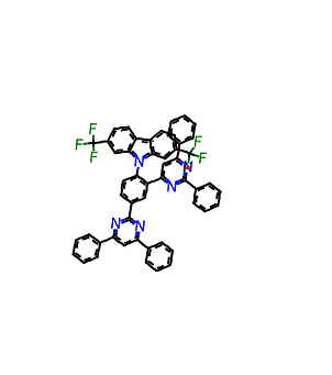 FC(F)(F)c1ccc2c3ccc(C(F)(F)F)cc3n(-c3ccc(-c4nc(-c5ccccc5)cc(-c5ccccc5)n4)cc3-c3cc(-c4ccccc4)nc(-c4ccccc4)n3)c2c1